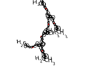 C=CC(=O)OCC1CC2C3CC(COC(=O)c4ccc(C(=O)OCC5CC6CC5C5CC(COC(=O)C(=C)C)CC65)c(C(=O)OCC5CC6C7CC(COC(=O)c8ccc(C)cc8C(=O)OCC8CC9CC8C8CC(COC(=O)c%10cc(C(=O)OCC%11CC%12CC%11C%11CC(COC(=O)C(=C)C)CC%12%11)ccc%10C(=O)OCC%10CC%11CC%10C%10CC(COC(=O)C=C)CC%11%10)CC98)C(C7)C6C5)c4)C(C3)C2C1